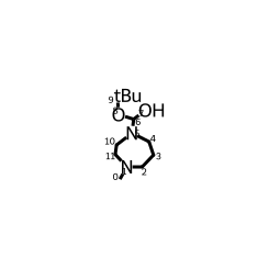 CN1CCCN(C(O)OC(C)(C)C)CC1